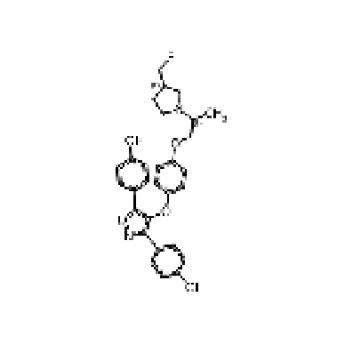 C[C@@H](COc1ccc(Oc2c(-c3ccc(O)cc3)noc2-c2ccc(O)cc2)cc1)N1CC[C@@H](CF)C1